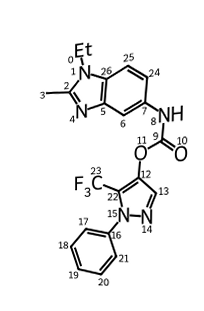 CCn1c(C)nc2cc(NC(=O)Oc3cnn(-c4ccccc4)c3C(F)(F)F)ccc21